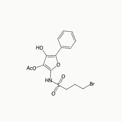 CC(=O)Oc1c(NS(=O)(=O)CCCBr)oc(-c2ccccc2)c1O